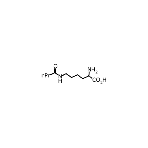 CCCC(=O)NCCCC[C@@H](N)C(=O)O